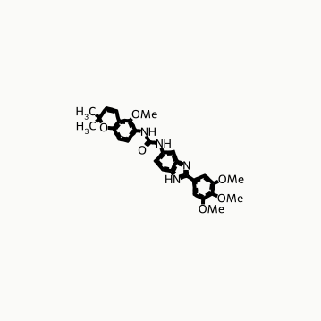 COc1cc(-c2nc3cc(NC(=O)Nc4ccc5c(c4OC)C=CC(C)(C)O5)ccc3[nH]2)cc(OC)c1OC